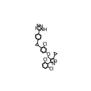 Clc1cc(OCc2c(-c3c(Cl)cccc3Cl)noc2C2CC2)ccc1C1CC1c1ccc(-c2nnn[nH]2)cc1